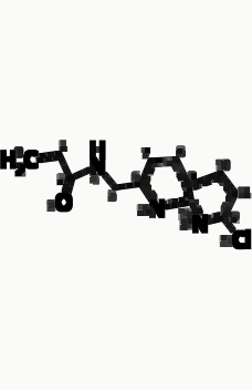 C=CC(=O)NCc1ccc2ccc(Cl)nc2n1